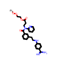 CC(C)OOCCOC(=O)CCN(C(=O)c1cccc(CCNc2ccc(C(=N)N)cc2)c1)c1ccccn1